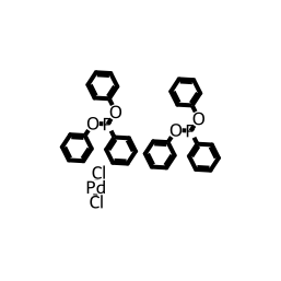 [Cl][Pd][Cl].c1ccc(OP(Oc2ccccc2)c2ccccc2)cc1.c1ccc(OP(Oc2ccccc2)c2ccccc2)cc1